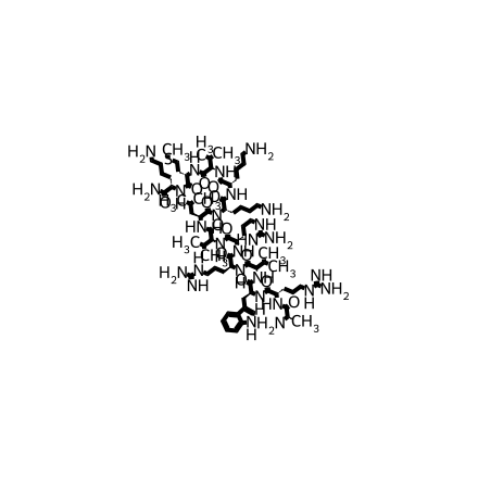 CSCC[C@H](NC(=O)[C@@H](NC(=O)[C@H](CCCCN)NC(=O)[C@H](CCCCN)NC(=O)[C@H](CC(C)C)NC(=O)[C@@H](NC(=O)[C@H](CCCNC(=N)N)NC(=O)[C@H](CCCNC(=N)N)NC(=O)[C@@H](NC(=O)[C@H](Cc1c[nH]c2ccccc12)NC(=O)[C@H](CCCNC(=N)N)NC(=O)[C@H](C)N)C(C)C)C(C)C)C(C)C)C(=O)N[C@@H](CCCCN)C(N)=O